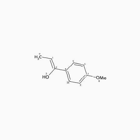 C/C=C(\O)c1ccc(OC)cc1